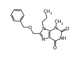 CCCn1c(COCc2ccccc2)nc2c(=O)[nH]c(=O)n(C)c21